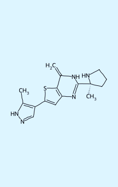 C=C1NC([C@]2(C)CCCN2)=Nc2cc(-c3cn[nH]c3C)sc21